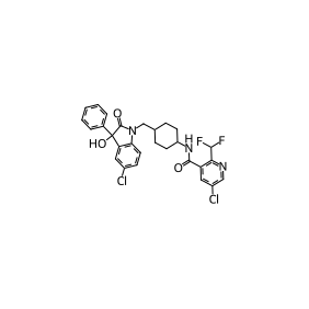 O=C(NC1CCC(CN2C(=O)C(O)(c3ccccc3)c3cc(Cl)ccc32)CC1)c1cc(Cl)cnc1C(F)F